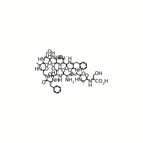 CC[C@H](C)[C@H](N)C(=O)N[C@H](C(=O)N[C@@H](Cc1ccccc1)C(=O)NCC(=O)N[C@@H](C)C(=O)N[C@@H](CO)C(=O)N[C@H](C(=O)N[C@H](C(=O)N[C@@H](Cc1ccccc1)C(=O)NCC(=O)N[C@@H](C)C(=O)N[C@@H](CO)C(=O)O)[C@@H](C)O)[C@@H](C)CC)[C@@H](C)O